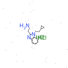 Cl.Cl.NCCc1nc2ccccc2n1CCC1CC1